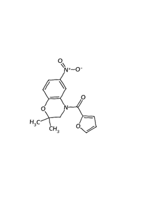 CC1(C)CN(C(=O)c2ccco2)c2cc([N+](=O)[O-])ccc2O1